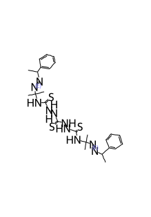 CC(/N=N/C(C)(C)NC(=S)NNC(=S)NNC(=S)NC(C)(C)/N=N/C(C)c1ccccc1)c1ccccc1